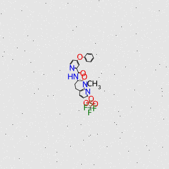 CN1C(=O)C(NC(=O)c2cc(Oc3ccccc3)ccn2)CCc2ccc(OS(=O)(=O)C(F)(F)F)nc21